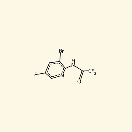 O=C(Nc1ncc(F)cc1Br)C(F)(F)F